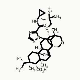 CC(C)[C@@H](C)[C@@]1(C)CC[C@]2(C)[C@H]3CC[C@@H]4[C@@]5(COC[C@@]4(C)[C@@H](OC[C@](C)(N)C(C)C)[C@H](n4ncnc4C(=O)NC4CC4)C5)C3=CC[C@@]2(C)[C@@H]1C(=O)O